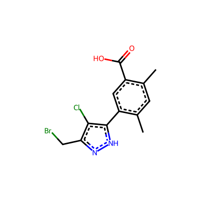 Cc1cc(C)c(-c2[nH]nc(CBr)c2Cl)cc1C(=O)O